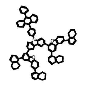 c1ccc(-c2c3ccccc3c(-c3ccc(-n4c5ccc(-c6cc(-c7cccc8c7CCCC8)cc7c6oc6ccc(-c8cccc9c8CCCC9)cc67)cc5c5cc(-c6cc(-c7cccc8c7CCCC8)cc7c6oc6ccc(-c8cccc9c8CCCC9)cc67)ccc54)cc3)c3ccccc23)cc1